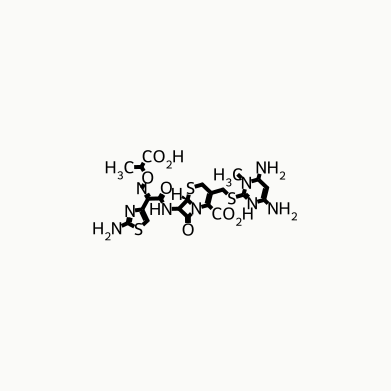 CC(O/N=C(\C(=O)NC1C(=O)N2C(C(=O)O)=C(CSC3=NC(N)=CC(N)N3C)CS[C@@H]12)c1csc(N)n1)C(=O)O